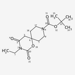 CCN1C(=O)CC2(CCN(C(=O)OC(C)(C)C)CC2)OC1=O